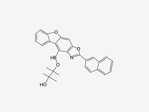 CC(C)(O)C(C)(C)OBc1c2nc(-c3ccc4ccccc4c3)oc2cc2oc3ccccc3c12